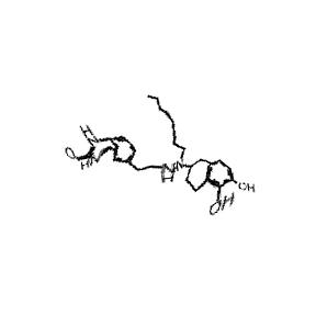 CCCCCCN(NCCc1ccc2[nH]c(=O)[nH]c2c1)C1CCc2c(ccc(O)c2O)C1